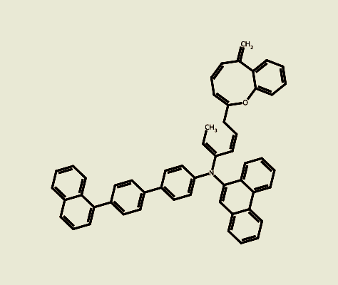 C=C1/C=C\C=C(\C/C=C\C(=C/C)N(c2ccc(-c3ccc(-c4cccc5ccccc45)cc3)cc2)c2cc3ccccc3c3ccccc23)Oc2ccccc21